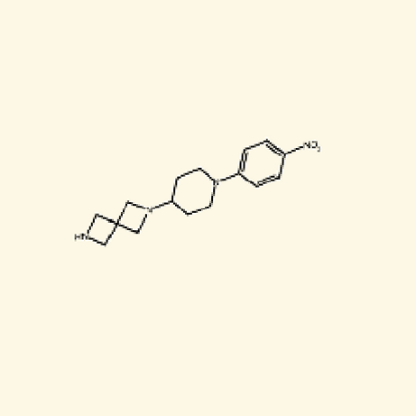 O=[N+]([O-])c1ccc(N2CCC(N3CC4(CNC4)C3)CC2)cc1